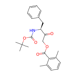 Cc1cccc(C)c1C(=O)OCC(=O)[C@H](Cc1ccccc1)NC(=O)OC(C)(C)C